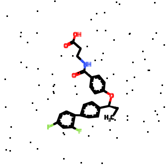 CC[C@H](Oc1ccc(C(=O)NCCC(=O)O)cc1)c1ccc(-c2ccc(F)cc2F)cc1